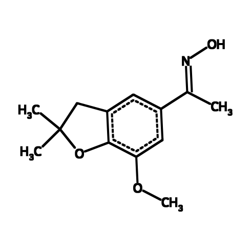 COc1cc(C(C)=NO)cc2c1OC(C)(C)C2